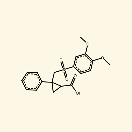 COc1ccc(S(=O)(=O)CC2(c3ccccc3)CC2C(=O)O)cc1OC